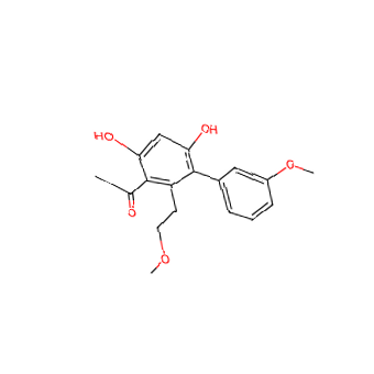 COCCc1c(C(C)=O)c(O)cc(O)c1-c1cccc(OC)c1